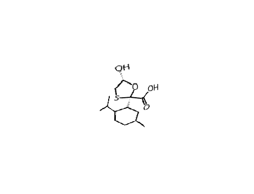 CC1CCC(C(C)C)C([C@@]2(C(=O)O)O[C@@H](O)CS2)C1